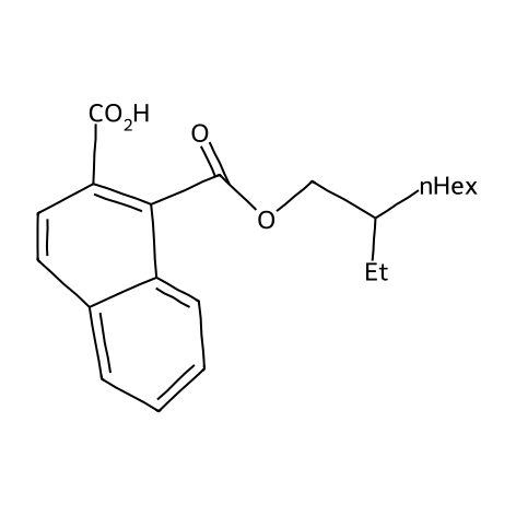 CCCCCCC(CC)COC(=O)c1c(C(=O)O)ccc2ccccc12